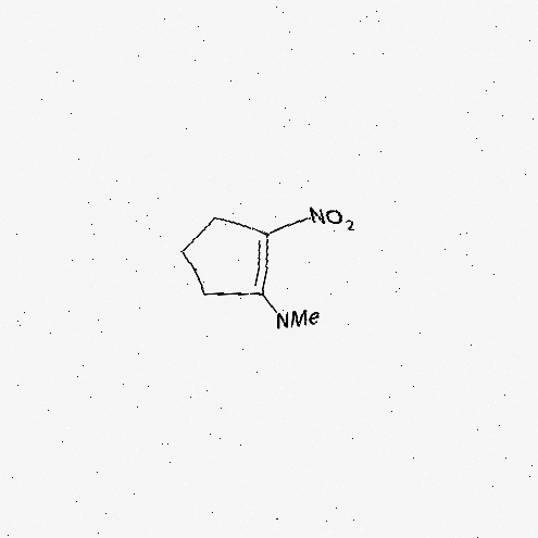 CNC1=C([N+](=O)[O-])CCC1